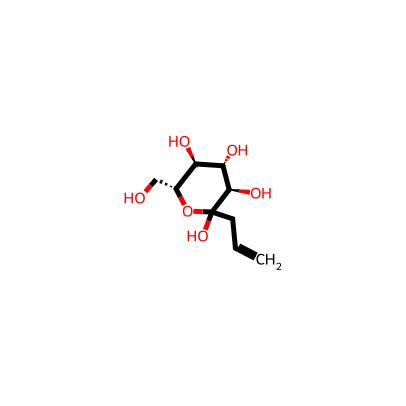 C=CCC1(O)O[C@H](CO)[C@@H](O)[C@H](O)[C@H]1O